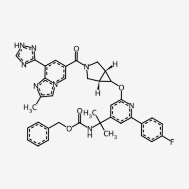 Cc1cn2cc(C(=O)N3C[C@@H]4C(Oc5cc(C(C)(C)NC(=O)OCc6ccccc6)cc(-c6ccc(F)cc6)n5)[C@@H]4C3)cc(-c3nc[nH]n3)c2n1